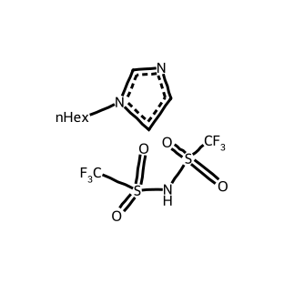 CCCCCCn1ccnc1.O=S(=O)(NS(=O)(=O)C(F)(F)F)C(F)(F)F